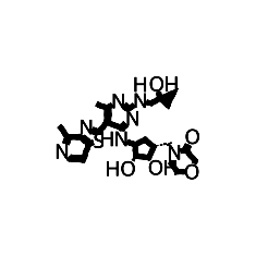 Cc1nc(NCC2(O)CC2)nc(NC2C[C@H](CN3CCOCC3=O)[C@@H](O)[C@H]2O)c1-c1nc2c(C)nccc2s1